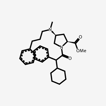 COC(=O)[C@@H]1C[C@H](N(C)CCCc2ccccc2)CN1C(=O)C(c1ccccc1)C1CCCCC1